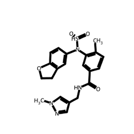 Cc1ccc(C(=O)NCc2cnn(C)c2)cc1N(c1ccc2c(c1)CCO2)[SH](=O)=O